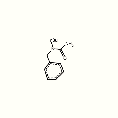 CCCCN(Cc1ccccc1)C(N)=O